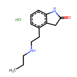 CCCNCCc1cccc2c1CC(=O)N2.Cl